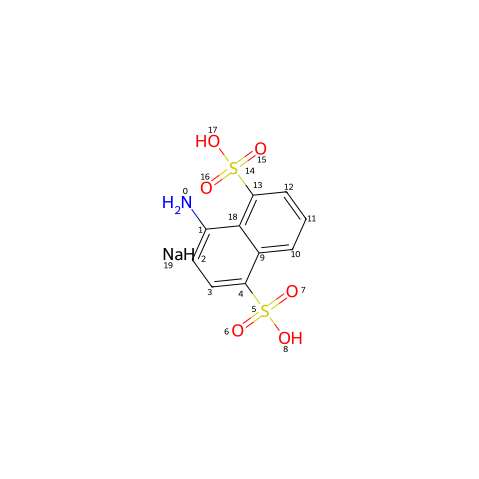 Nc1ccc(S(=O)(=O)O)c2cccc(S(=O)(=O)O)c12.[NaH]